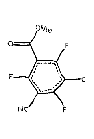 COC(=O)c1c(F)c(Cl)c(F)c(C#N)c1F